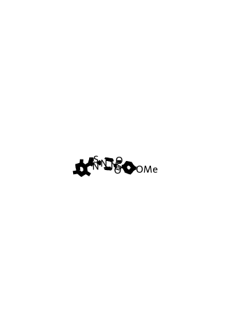 COc1ccc(S(=O)(=O)N2CCN(c3nc(-c4c(C)cc(C)cc4C)cs3)CC2)cc1